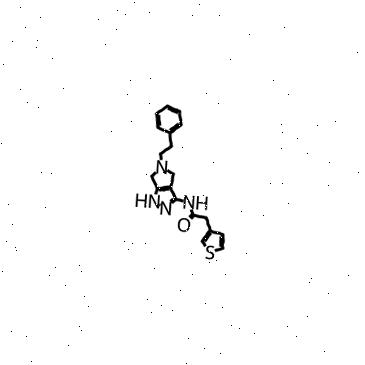 O=C(Cc1ccsc1)Nc1n[nH]c2c1CN(CCc1ccccc1)C2